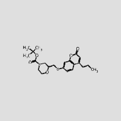 CCCc1cc(=O)oc2cc(OCC3CN(C(=O)OC(C)(C)C)CCO3)ccc12